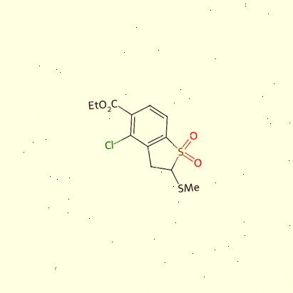 CCOC(=O)c1ccc2c(c1Cl)CC(SC)S2(=O)=O